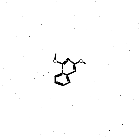 COc1cc(OC)c2ccccc2c1